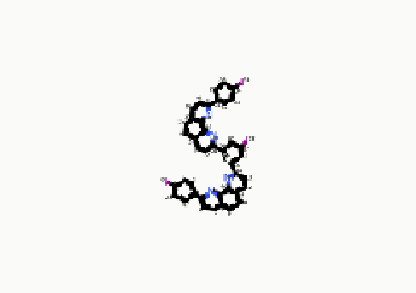 Ic1ccc(-c2ccc3ccc4ccc(-c5cc(I)cc(-c6ccc7ccc8ccc(-c9ccc(I)cc9)nc8c7n6)c5)nc4c3n2)cc1